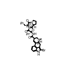 CC(C)C[C@H]1C(=O)N2CCC[C@H]2[C@]2(O)O[C@](NC(=O)C3C=C4c5cccc6[nH]c(Br)c(c56)C[C@H]4N(C)C3)(C(C)C)C(=O)N12